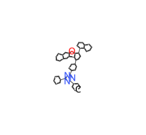 c1ccc(-c2nc(-c3ccccc3)nc(-c3ccc(-c4ccc(-c5cccc6ccccc56)c5oc6cc7ccccc7cc6c45)cc3)n2)cc1